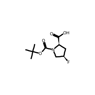 CC(C)(C)OC(=O)N1C[C@H](F)C[C@@H]1C(=O)O